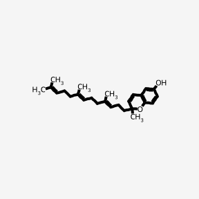 CC(C)=CCC/C(C)=C/CC/C(C)=C/CCC1(C)C=Cc2cc(O)ccc2O1